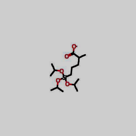 CC(C)O[Si](CCCC(C)C([O])=O)(OC(C)C)OC(C)C